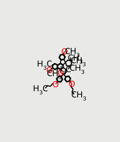 CCCCOc1ccc(C2(c3ccc(OCCCC)cc3)C=Cc3c4c(c5cc(C)c(OC)cc5c3O2)-c2ccc(OC)cc2C42CC(C)(C)CC(C)(C)C2)cc1